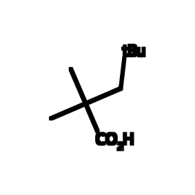 CC(C)(C)CC(C)(C)C(=O)O